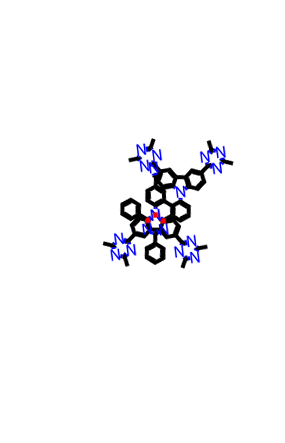 Cc1nc(C)nc(-c2ccc3c(c2)c2cc(-c4nc(C)nc(C)n4)ccc2n3-c2ccc(C#N)cc2-c2c(-c3nc(-c4ccccc4)nc(-c4ccccc4)n3)cccc2-n2c3ccc(-c4nc(C)nc(C)n4)cc3c3cc(-c4nc(C)nc(C)n4)ccc32)n1